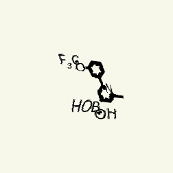 Cc1cc(B(O)O)cc(-c2cccc(OC(F)(F)F)c2)n1